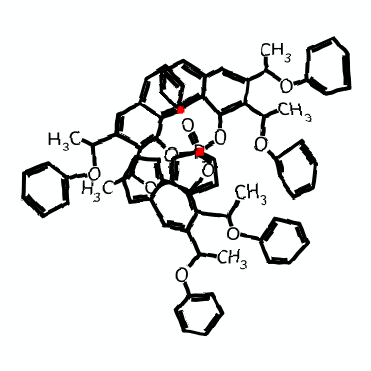 CC(Oc1ccccc1)c1cc2ccccc2c(OP(=O)(Oc2c(C(C)Oc3ccccc3)c(C(C)Oc3ccccc3)cc3ccccc23)Oc2c(C(C)Oc3ccccc3)c(C(C)Oc3ccccc3)cc3ccccc23)c1C(C)Oc1ccccc1